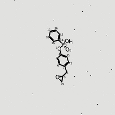 O=P(O)(Oc1ccc(CC2CO2)cc1)c1ccccc1